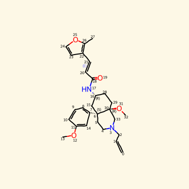 C=CCN1CC[C@@]2(c3cccc(OC)c3)C[C@H](NC(=O)/C=C/c3ccoc3C)CC[C@]2(OC)C1